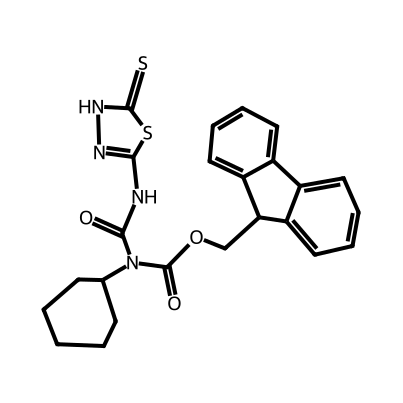 O=C(Nc1n[nH]c(=S)s1)N(C(=O)OCC1c2ccccc2-c2ccccc21)C1CCCCC1